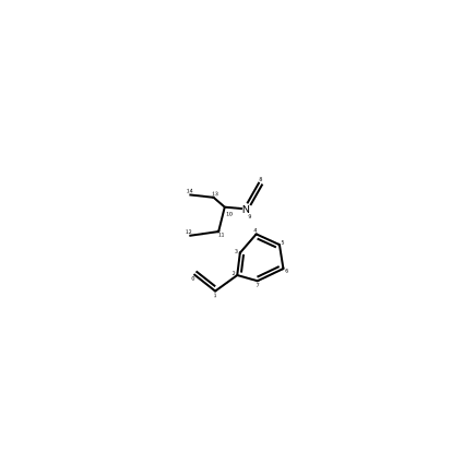 C=Cc1ccccc1.C=NC(CC)CC